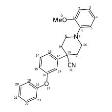 COc1ccccc1N1CCC(C#N)(c2cccc(Oc3ccccc3)c2)CC1